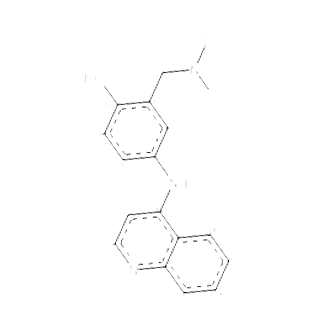 CCN(CC)Cc1cc(Nc2ccnc3ccccc23)ccc1O